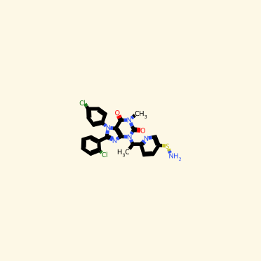 CC(c1ccc(SN)cn1)n1c(=O)n(C)c(=O)c2c1nc(-c1ccccc1Cl)n2-c1ccc(Cl)cc1